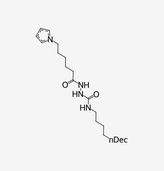 CCCCCCCCCCCCCCNC(=O)NNC(=O)CCCCCn1cccc1